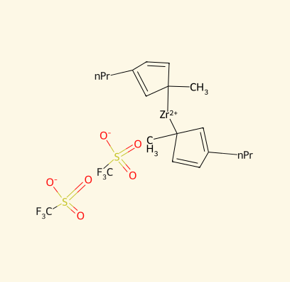 CCCC1=C[C](C)([Zr+2][C]2(C)C=CC(CCC)=C2)C=C1.O=S(=O)([O-])C(F)(F)F.O=S(=O)([O-])C(F)(F)F